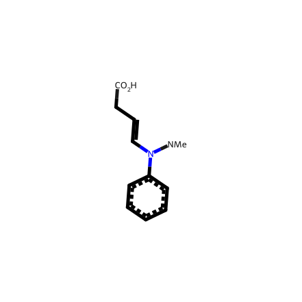 CNN(C=CCC(=O)O)c1ccccc1